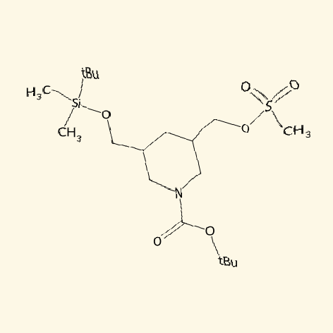 CC(C)(C)OC(=O)N1CC(CO[Si](C)(C)C(C)(C)C)CC(COS(C)(=O)=O)C1